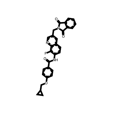 O=C(Nc1ccc2cc(CN3C(=O)c4ccccc4C3=O)cnc2c1F)c1ccc(OCC2CC2)cc1